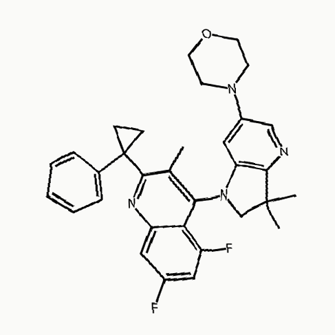 Cc1c(C2(c3ccccc3)CC2)nc2cc(F)cc(F)c2c1N1CC(C)(C)c2ncc(N3CCOCC3)cc21